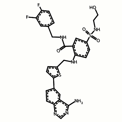 Nc1ncnc2ccc(-c3ccc(CNc4ccc(S(=O)(=O)NCCO)cc4C(=O)NCc4ccc(F)c(F)c4)s3)cc12